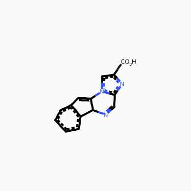 O=C(O)c1cn2c(n1)C=NC1C2=Cc2ccccc21